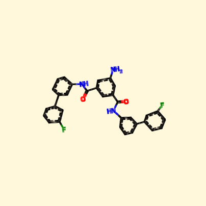 Nc1cc(C(=O)Nc2cccc(-c3cccc(F)c3)c2)cc(C(=O)Nc2cccc(-c3cccc(F)c3)c2)c1